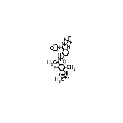 Cc1cc([C@@H](C)NC(=O)c2ccc3nc(C(F)(F)F)nc(N4CCOCC4)c3c2)c(F)cc1NS(C)(=O)=O